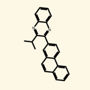 CC(C)c1nc2ccccc2nc1-c1ccc2c(ccc3ccccc32)c1